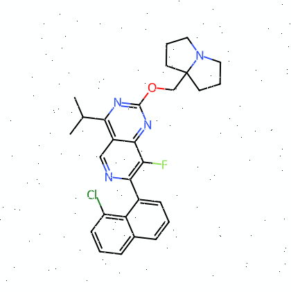 CC(C)c1nc(OCC23CCCN2CCC3)nc2c(F)c(-c3cccc4cccc(Cl)c34)ncc12